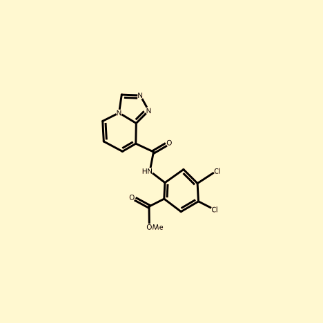 COC(=O)c1cc(Cl)c(Cl)cc1NC(=O)c1cccn2cnnc12